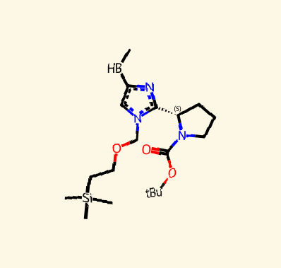 CBc1cn(COCC[Si](C)(C)C)c([C@@H]2CCCN2C(=O)OC(C)(C)C)n1